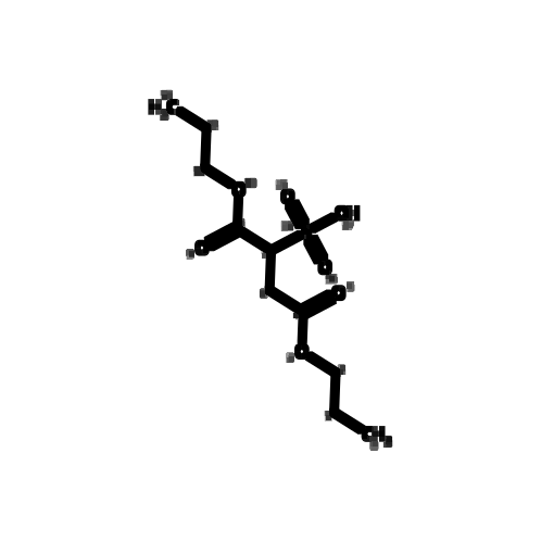 CCCOC(=O)CC(C(=O)OCCC)S(=O)(=O)O